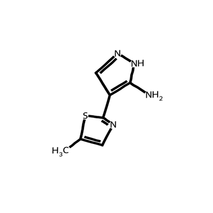 Cc1cnc(-c2cn[nH]c2N)s1